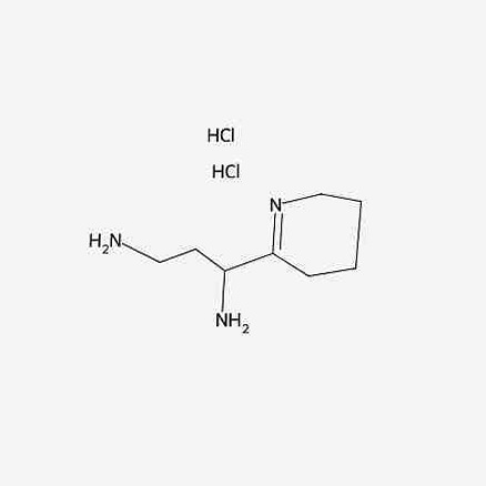 Cl.Cl.NCCC(N)C1=NCCCC1